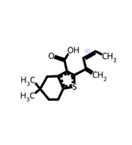 C=C(/C=C\C)c1sc2c(c1C(=O)O)CC(C)(C)CC2